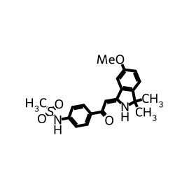 COc1ccc2c(c1)/C(=C/C(=O)c1ccc(NS(C)(=O)=O)cc1)NC2(C)C